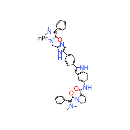 CCCN(Cc1ncc(-c2ccc(-c3cc4cc(NC(=O)[C@@H]5CCCN5C(=O)[C@@H](c5ccccc5)N(C)C)ccc4[nH]3)cc2)[nH]1)C(=O)[C@@H](c1ccccc1)N(C)C